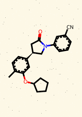 Cc1ccc([C@H]2CC(=O)N(c3cccc(C#N)c3)C2)cc1OC1CCCC1